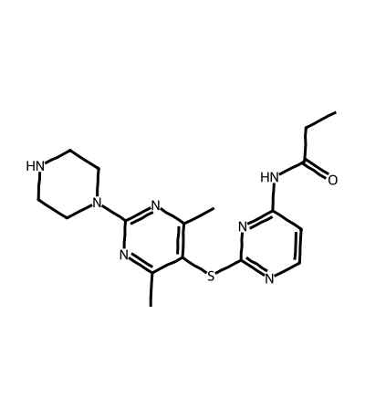 CCC(=O)Nc1ccnc(Sc2c(C)nc(N3CCNCC3)nc2C)n1